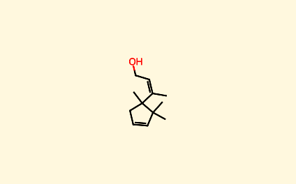 C/C(=C/CO)C1(C)CC=CC1(C)C